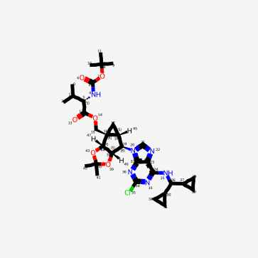 CC(C)[C@H](NC(=O)OC(C)(C)C)C(=O)OC[C@@]12C[C@@H]1[C@@H](n1cnc3c(NC(C4CC4)C4CC4)nc(Cl)nc31)[C@@H]1OC(C)(C)O[C@@H]12